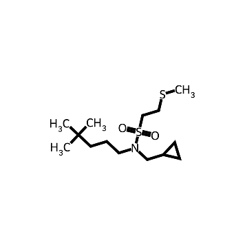 CSCCS(=O)(=O)N(CCCC(C)(C)C)CC1CC1